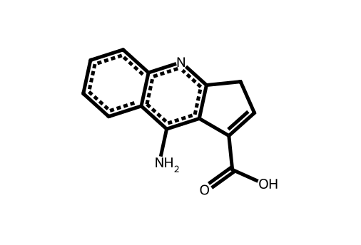 Nc1c2c(nc3ccccc13)CC=C2C(=O)O